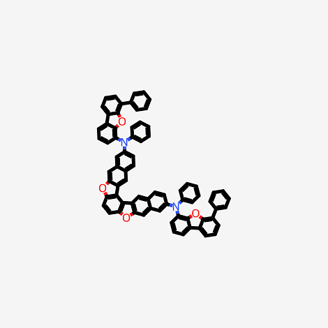 c1ccc(-c2cccc3c2oc2c(N(c4ccccc4)c4ccc5cc6c(cc5c4)oc4ccc5oc7cc8cc(N(c9ccccc9)c9cccc%10c9oc9c(-c%11ccccc%11)cccc9%10)ccc8cc7c5c46)cccc23)cc1